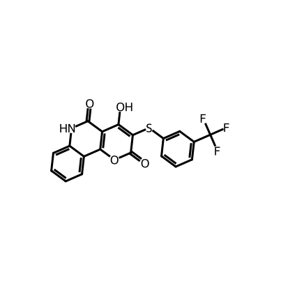 O=c1oc2c(c(O)c1Sc1cccc(C(F)(F)F)c1)c(=O)[nH]c1ccccc12